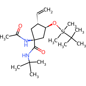 C=C[C@H]1C[C@@](NC(C)=O)(C(=O)NC(C)(C)C)C[C@@H]1O[Si](C)(C)C(C)(C)C